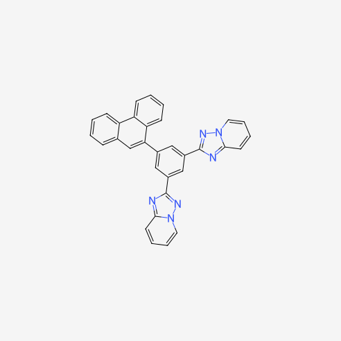 c1ccc2c(c1)cc(-c1cc(-c3nc4ccccn4n3)cc(-c3nc4ccccn4n3)c1)c1ccccc12